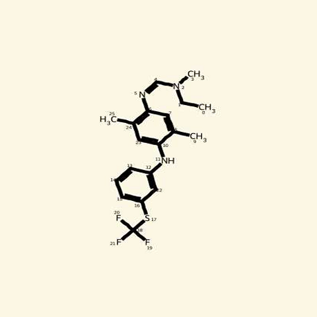 CCN(C)/C=N\c1cc(C)c(Nc2cccc(SC(F)(F)F)c2)cc1C